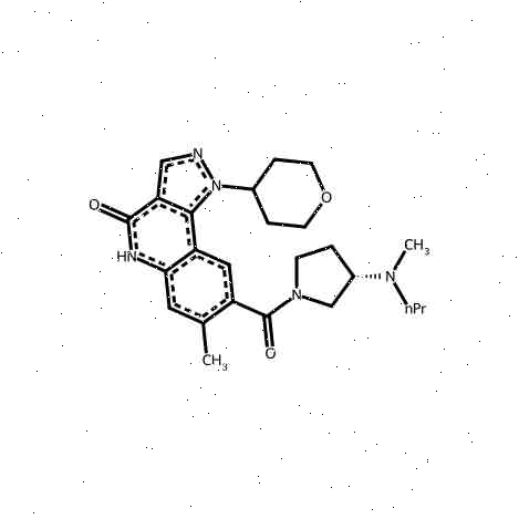 CCCN(C)[C@H]1CCN(C(=O)c2cc3c(cc2C)[nH]c(=O)c2cnn(C4CCOCC4)c23)C1